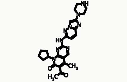 CC(=O)c1c(C)c2cnc(Nc3ccc4nc(N5CCNCC5)cn4n3)nc2n(C2CCCC2)c1=O